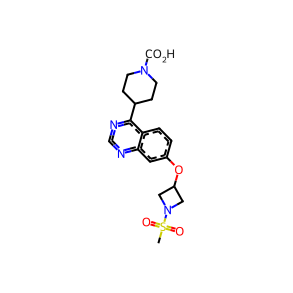 CS(=O)(=O)N1CC(Oc2ccc3c(C4CCN(C(=O)O)CC4)ncnc3c2)C1